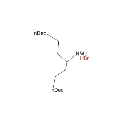 Br.CCCCCCCCCCCCC(CCCCCCCCCCCC)NC